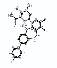 O=C(O)C1=C(O)C(O)C=CN1NC1c2ccc(-c3ccc(F)cc3)cc2SCc2c1ccc(F)c2F